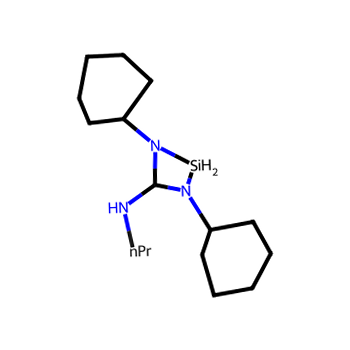 CCCNC1N(C2CCCCC2)[SiH2]N1C1CCCCC1